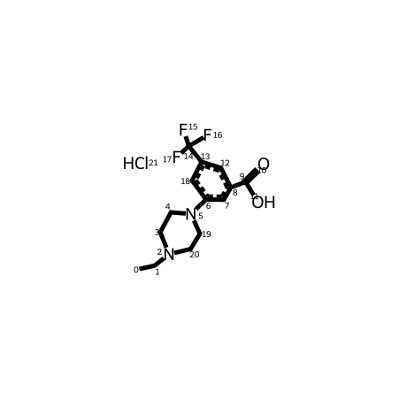 CCN1CCN(c2cc(C(=O)O)cc(C(F)(F)F)c2)CC1.Cl